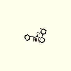 N[C@@H](Cc1ccccc1)C(=O)N1CC=CCC1c1cccnc1